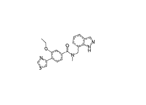 CCOc1cc(C(=O)N(C)Cc2cccc3cn[nH]c23)ccc1-c1cscn1